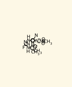 CC1(C)C[C@H](Nc2nc(Nc3ccc(N4CCN(S(C)(=O)=O)CC4)c(C#N)c3)ncc2F)C[C@@H]2CCCN21